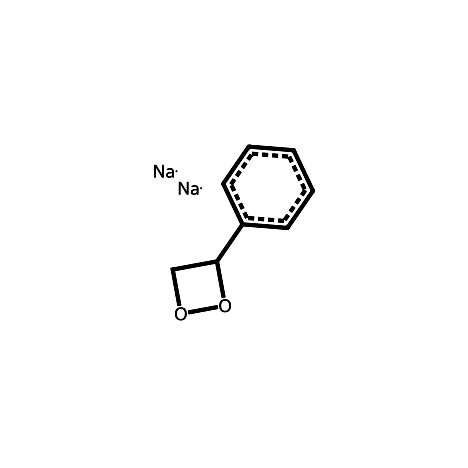 [Na].[Na].c1ccc(C2COO2)cc1